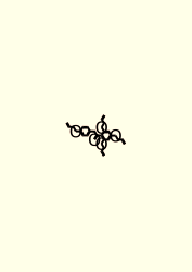 C=CCOc1ccc(CC(=O)c2c(OCC=C)cc(OCC=C)cc2OCC=C)cc1